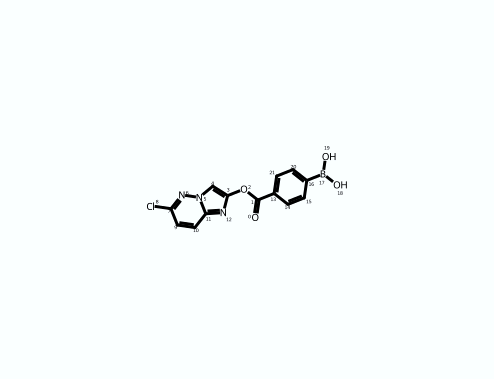 O=C(Oc1cn2nc(Cl)ccc2n1)c1ccc(B(O)O)cc1